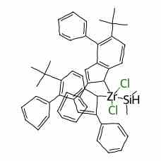 C[SiH](C)[Zr]([Cl])([Cl])([CH]1C(c2ccccc2)=Cc2c1ccc(C(C)(C)C)c2-c1ccccc1)[CH]1C(c2ccccc2)=Cc2c1ccc(C(C)(C)C)c2-c1ccccc1